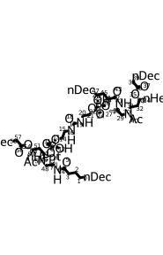 CCCCCCCCCCCCCC(=O)N[C@@H](COP(=O)(O)OCCNC(=O)NCCOP(=O)(O)OC[C@@H](CN(CC[C@@H](CCCCCCC)OC(=O)CCCCCCCCCCC)C(C)=O)NC(=O)CCCCCCCCCCCCC)CN(CC[C@@H](CCCCCCC)OC(=O)CCCCCCCCCCC)C(C)=O